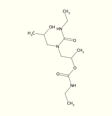 CCNC(=O)OC(C)CN(CC(C)O)C(=O)NCC